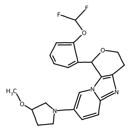 COC1CCN(c2ccc3nc4c(n3c2)C(c2ccccc2OC(F)F)OCC4)C1